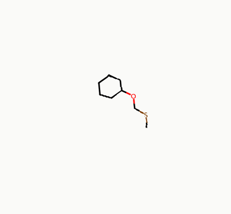 CSCOC1CCCCC1